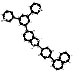 c1cncc(-c2cc(-c3cccnc3)cc(-c3ccc4nc(-c5ccc(-c6cccc7ccccc67)cc5)sc4c3)c2)c1